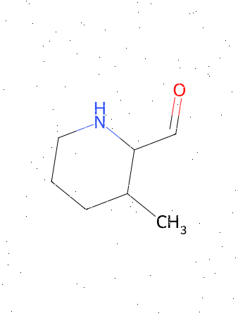 CC1CCCNC1C=O